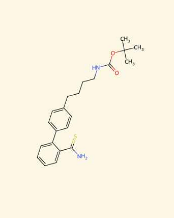 CC(C)(C)OC(=O)NCCCCc1ccc(-c2ccccc2C(N)=S)cc1